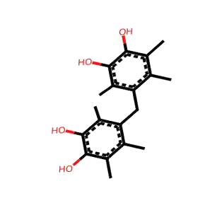 Cc1c(C)c(Cc2c(C)c(C)c(O)c(O)c2C)c(C)c(O)c1O